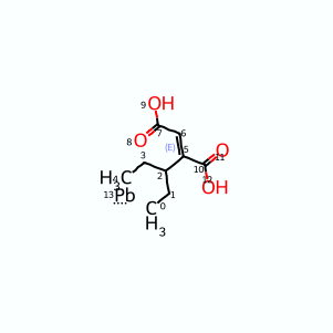 CCC(CC)/C(=C\C(=O)O)C(=O)O.[Pb]